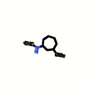 COC1CCCCC(N[C]=O)C1